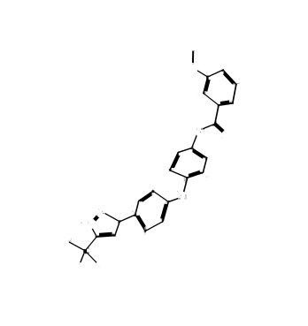 COc1cccc(C(=O)Nc2ccc(Nc3ccc(C4C=C(C(C)(C)O)N=N4)cc3)cc2)c1